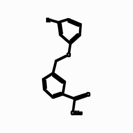 COC(=O)c1cccc(COc2cccc(Br)c2)c1